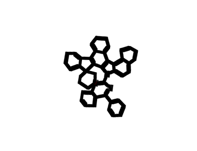 c1ccc(-c2nc(-n3c4ccc5ccccc5c4c4c5ccccc5c5c(c43)C3(CCCCC3)c3ccccc3-5)nc3ccccc23)cc1